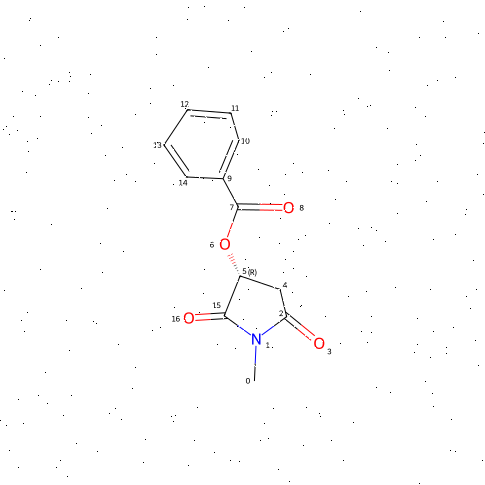 CN1C(=O)C[C@@H](OC(=O)c2ccccc2)C1=O